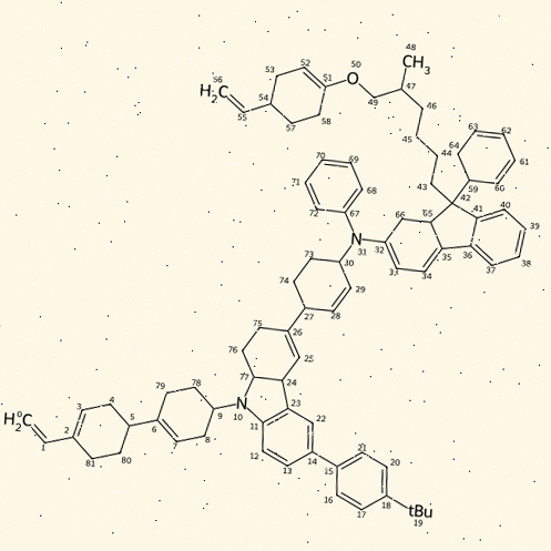 C=CC1=CCC(C2=CCC(N3c4ccc(-c5ccc(C(C)(C)C)cc5)cc4C4C=C(C5C=CC(N(C6=CC=C7c8ccccc8C(CCCCC(C)COC8=CCC(C=C)CC8)(C8C=CC=CC8)C7C6)c6ccccc6)CC5)CCC43)CC2)CC1